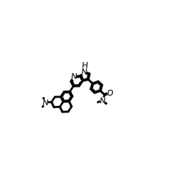 CN(C)C(=O)c1ccc(-c2c[nH]c3ncc(-c4cc5c6c(c4)CC(N(C)C)CC6CCC5)cc23)cc1